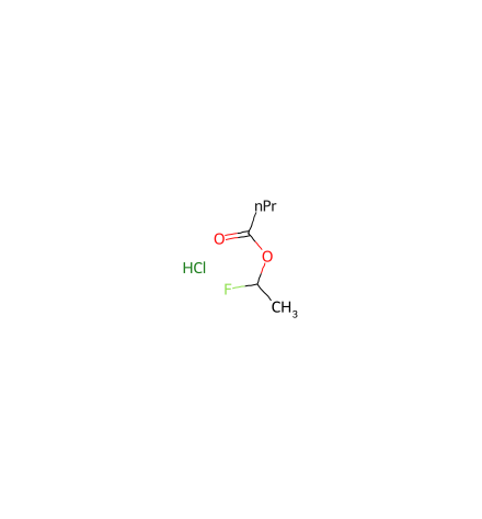 CCCC(=O)OC(C)F.Cl